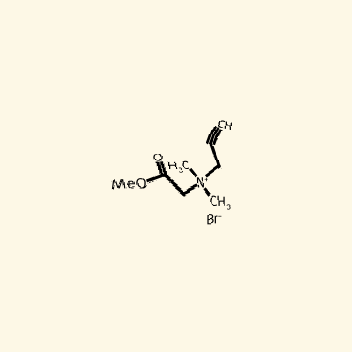 C#CC[N+](C)(C)CC(=O)OC.[Br-]